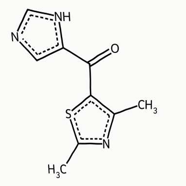 Cc1nc(C)c(C(=O)c2cnc[nH]2)s1